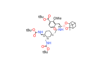 COc1c(C[C@H](NC(=O)C[C@H]2CC[C@H](CNC(=O)OC(C)(C)C)[C@@H](CNC(=O)OC(C)(C)C)C2)B2OC3CC4CC(C4(C)C)C3(C)O2)cccc1C(=O)OC(C)(C)C